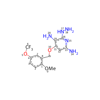 COc1ccc(OC(F)(F)F)cc1COc1cc(N)nc(NN)c1N